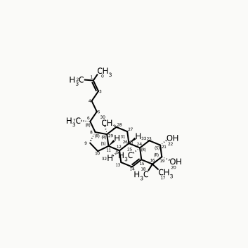 CC(C)=CCC[C@@H](C)[C@H]1CC[C@H]2[C@@H]3CC=C4C(C)(C)[C@@H](O)[C@@H](O)C[C@]4(C)[C@H]3CC[C@]12C